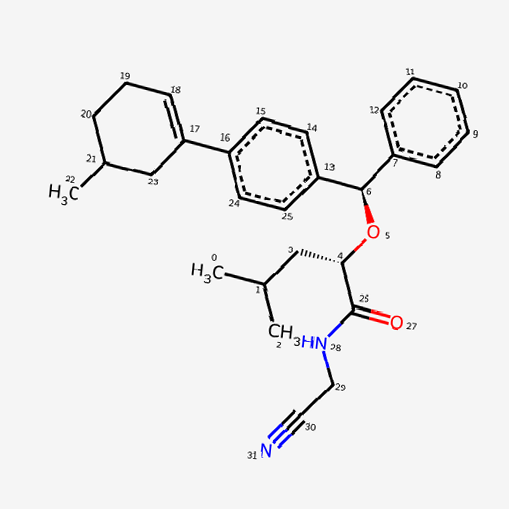 CC(C)C[C@H](O[C@H](c1ccccc1)c1ccc(C2=CCCC(C)C2)cc1)C(=O)NCC#N